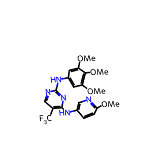 COc1ccc(Nc2nc(Nc3cc(OC)c(OC)c(OC)c3)ncc2C(F)(F)F)cn1